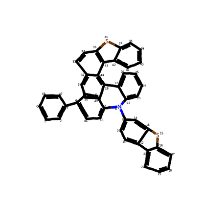 c1ccc(-c2ccc(N(c3ccc4c(c3)sc3ccccc34)c3ccccc3-c3cccc4ccc5sc6ccccc6c5c34)cc2)cc1